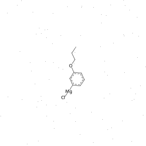 CCCOc1ccc[c]([Mg][Cl])c1